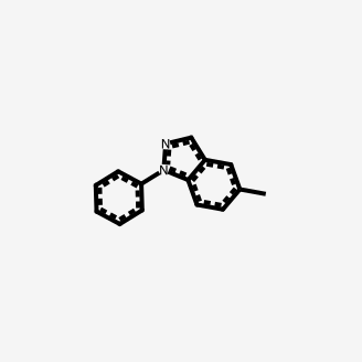 Cc1ccc2c(cnn2-c2ccccc2)c1